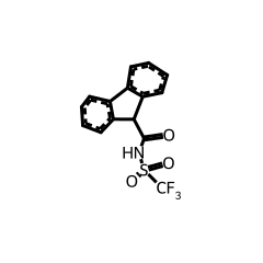 O=C(NS(=O)(=O)C(F)(F)F)C1c2ccccc2-c2ccccc21